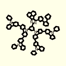 c1ccc(-c2ccccc2-c2cccc(-c3nc(-c4cc(-n5c6ccc(-c7ccc8c(c7)c7ccccc7n8-c7ccccc7)cc6c6cc(-c7ccc8c(c7)c7ccccc7n8-c7ccccc7)ccc65)cc(-n5c6ccc(-c7ccc8c(c7)c7ccccc7n8-c7ccccc7)cc6c6cc(-c7ccc8c(c7)c7ccccc7n8-c7ccccc7)ccc65)c4)nc4c3-c3cccc5cccc-4c35)c2)cc1